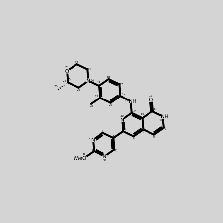 COc1ncc(-c2cc3cc[nH]c(=O)c3c(Nc3ccc(N4CCO[C@@H](C)C4)c(C)c3)n2)cn1